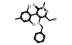 CCc1cc(C)cc(CC)c1-c1c(OCc2ccccc2)c(CBr)nn(C)c1=O